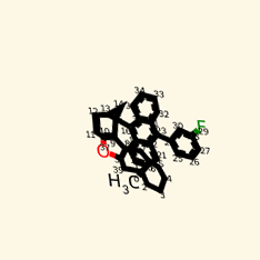 CC12CCCCC1CC1C3=C(C=CC4CC34c3c4ccccc4c(-c4cccc(F)c4)c4ccccc34)OC1C2